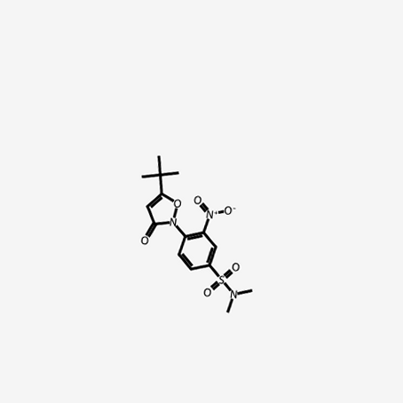 CN(C)S(=O)(=O)c1ccc(-n2oc(C(C)(C)C)cc2=O)c([N+](=O)[O-])c1